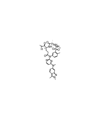 CPC(=O)[C@H](CCC(=O)N(c1ccc(C)c(S(N)(=O)=O)c1)c1nccc(N(C)c2ccc3c(C)n(C)nc3c2)n1)NC(=O)[C@H](C)N